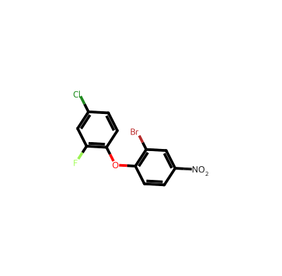 O=[N+]([O-])c1ccc(Oc2ccc(Cl)cc2F)c(Br)c1